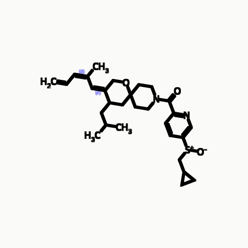 C=C/C=C(C)\C=C1/COC2(CCN(C(=O)c3ccc([S+]([O-])CC4CC4)cn3)CC2)CC1CC(C)C